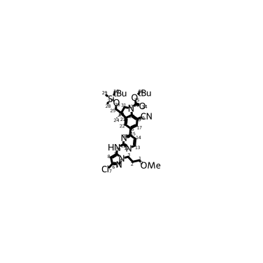 COCCCn1nc(Cl)cc1Nc1nccc(-c2cc(C#N)c3c(c2)[C@@](C)(CO[Si](C)(C)C(C)(C)C)CN3C(=O)OC(C)(C)C)n1